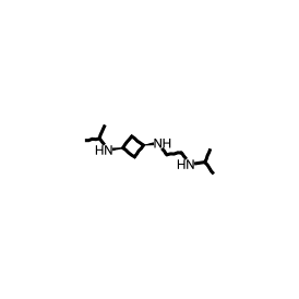 CC(C)NCCN[C@H]1C[C@@H](NC(C)C)C1